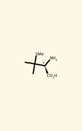 CSC(C)(C)[C@@H](N)C(=O)O